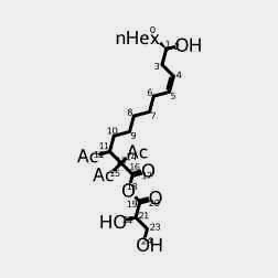 CCCCCC[C@@H](O)C/C=C\CCCCCC(C(C)=O)C(C(C)=O)(C(C)=O)C(=O)OC(=O)C(O)CO